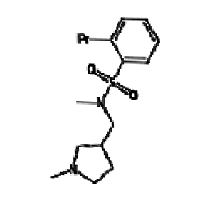 CC(C)c1ccccc1S(=O)(=O)N(C)CC1CCN(C)C1